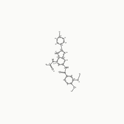 COc1ccc(C(=O)Nc2cc(NC(C)=O)c3[nH]c(-c4ccc(C)cc4)nc3c2)cc1OC